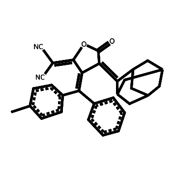 Cc1ccc(C(=C2C(=C(C#N)C#N)OC(=O)C2=C2C3CC4CC(C3)CC2C4)c2ccccc2)cc1